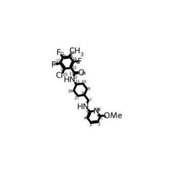 COc1cccc(NCC2CCC(NC(=O)c3c(F)c(C)c(F)c(F)c3Cl)CC2)n1